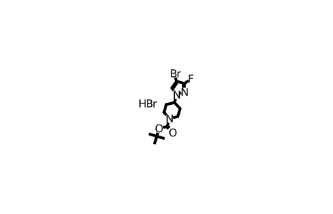 Br.CC(C)(C)OC(=O)N1CCC(n2cc(Br)c(F)n2)CC1